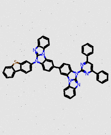 c1ccc(-c2cc(-c3ccccc3)nc(-n3c4ccc(-c5ccc6c(c5)n5c7ccccc7nc5n6-c5ccc6c(c5)sc5ccccc56)cc4n4c5ccccc5nc34)n2)cc1